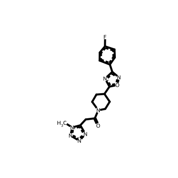 Cn1nnnc1CC(=O)N1CCC(c2nc(-c3ccc(F)cc3)no2)CC1